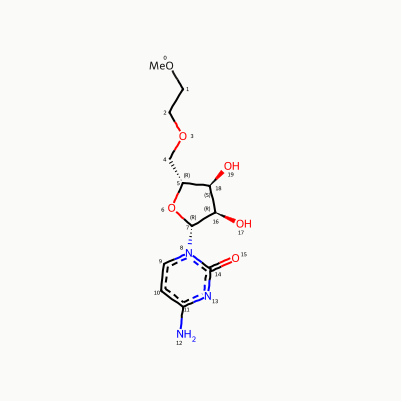 COCCOC[C@H]1O[C@@H](n2ccc(N)nc2=O)[C@H](O)[C@@H]1O